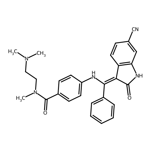 CN(C)CCN(C)C(=O)c1ccc(NC(=C2C(=O)Nc3cc(C#N)ccc32)c2ccccc2)cc1